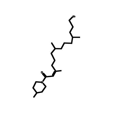 CC(=CC(=O)N1CCC(C)CC1)CCCC(C)CCCC(C)CCCC(C)C